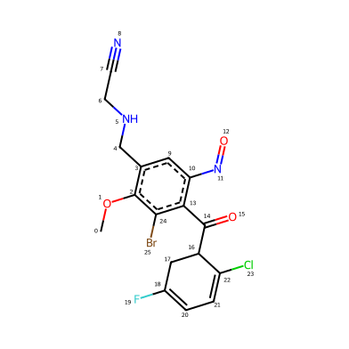 COc1c(CNCC#N)cc(N=O)c(C(=O)C2CC(F)=CC=C2Cl)c1Br